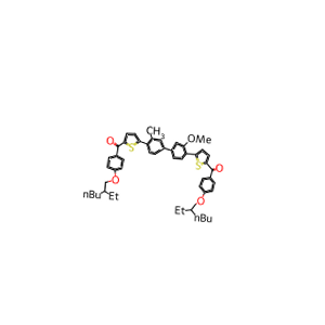 CCCCC(CC)COc1ccc(C(=O)c2ccc(-c3ccc(-c4ccc(-c5ccc(C(=O)c6ccc(OCC(CC)CCCC)cc6)s5)c(OC)c4)cc3C)s2)cc1